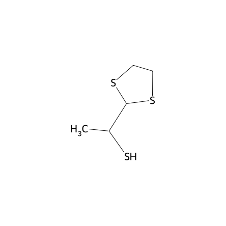 CC(S)C1SCCS1